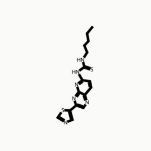 CCCCCNC(=S)Nc1ccc2ncc(-c3cncs3)nc2n1